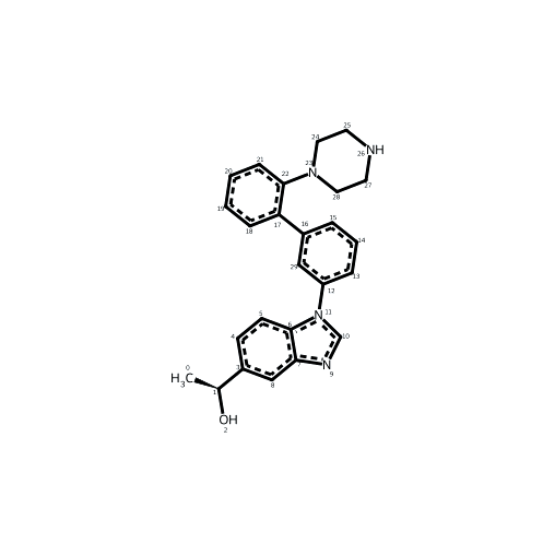 C[C@H](O)c1ccc2c(c1)ncn2-c1cccc(-c2ccccc2N2CCNCC2)c1